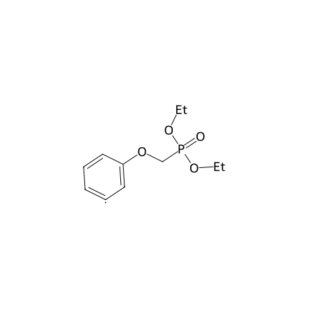 CCOP(=O)(COc1c[c]ccc1)OCC